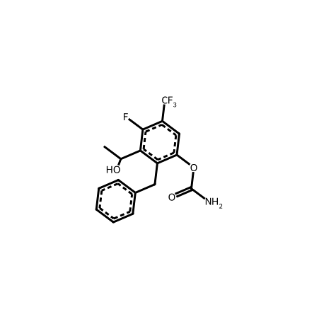 CC(O)c1c(F)c(C(F)(F)F)cc(OC(N)=O)c1Cc1ccccc1